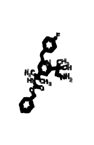 CC(O)(CN)c1cc(C(C)(C)NC(=O)OCc2ccccc2)cc(Cc2ccc(F)cc2)n1